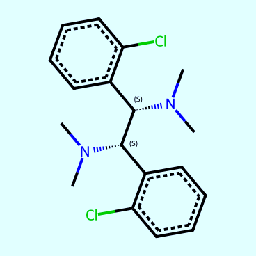 CN(C)[C@@H](c1ccccc1Cl)[C@H](c1ccccc1Cl)N(C)C